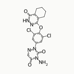 Nn1c(=O)cnn(-c2cc(Cl)c(Oc3n[nH]c(=O)c4c3CCCC4)c(Cl)c2)c1=O